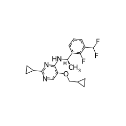 C[C@@H](Nc1nc(C2CC2)ncc1OCC1CC1)c1cccc(C(F)F)c1F